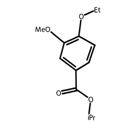 CCOc1ccc(C(=O)OC(C)C)cc1OC